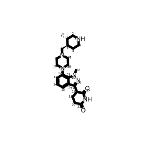 C[C@@H]1CNCC[C@H]1CN1CCN(c2cccc3c(C4CCC(=O)NC4=O)nn(C)c23)CC1